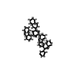 c1ccc(-c2nc3ccccc3c3c2ccc2sc4c(-c5nc(-c6ccc7ccccc7c6)nc(-c6cccc7sc8ccccc8c67)n5)cccc4c23)cc1